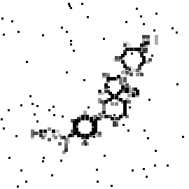 CN(C(=O)O)c1ccc(N2CCCC3(CCN([C@H]4CC[C@H](O)CC4)C3=O)C2)cc1